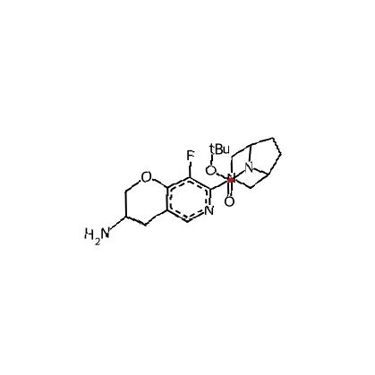 CC(C)(C)OC(=O)N1C2CCC1CN(c1ncc3c(c1F)OCC(N)C3)C2